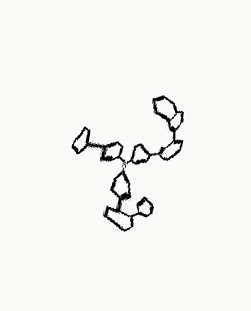 c1ccc(-c2ccc(N(c3ccc(-c4cccc(-c5ccc6ccccc6c5)c4)cc3)c3ccc(-c4ccccc4-c4ccccc4)cc3)cc2)cc1